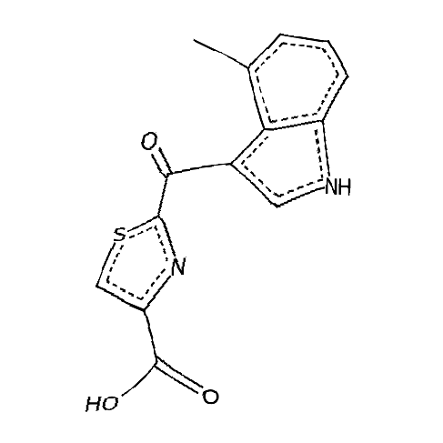 Cc1cccc2[nH]cc(C(=O)c3nc(C(=O)O)cs3)c12